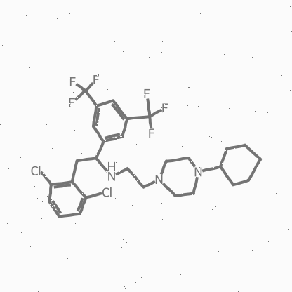 FC(F)(F)c1cc(C(Cc2c(Cl)cccc2Cl)NCCN2CCN(C3CCCCC3)CC2)cc(C(F)(F)F)c1